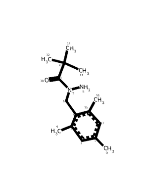 Cc1cc(C)c(CN(N)C(=O)C(C)(C)C)c(C)c1